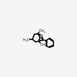 CC1CC2(C)CC(C)(C1)C(c1ccccc1)=N2